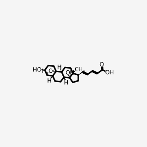 C[C@]12CC[C@H](O)C[C@H]1CC[C@@H]1[C@@H]2CC[C@]2(C)[C@@H](/C=C/C=C/C(=O)O)CC[C@]12O